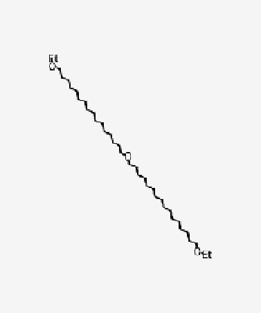 CCOCCCCCCCCCCCCCCCCOCCCCCCCCCCCCCCCCOCC